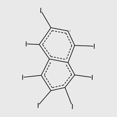 Ic1[c]c(I)c2c(I)c(I)c(I)c(I)c2c1I